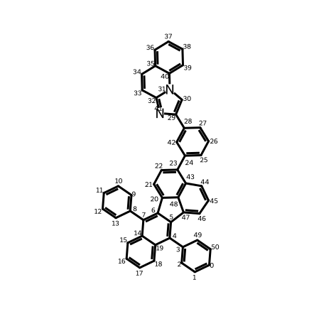 c1ccc(-c2c3c(c(-c4ccccc4)c4ccccc24)-c2ccc(-c4cccc(-c5cn6c(ccc7ccccc76)n5)c4)c4cccc-3c24)cc1